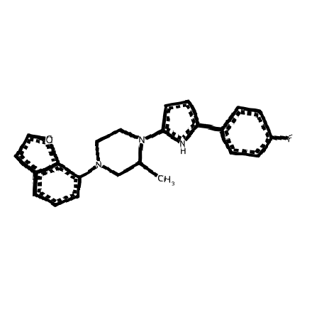 CC1CN(c2cccc3ccoc23)CCN1c1ccc(-c2ccc(F)cc2)[nH]1